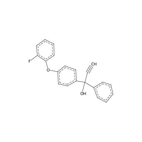 C#CC(O)(c1ccccc1)c1ccc(Oc2ccccc2F)cc1